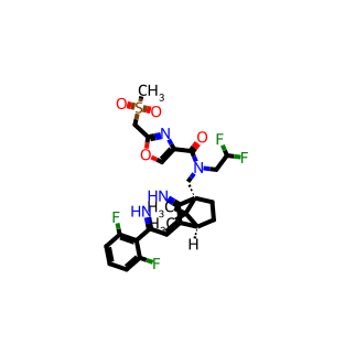 CC1(C)[C@H]2CC[C@]1(CN(CC(F)F)C(=O)c1coc(CS(C)(=O)=O)n1)C(=N)/C2=C\C(=N)c1c(F)cccc1F